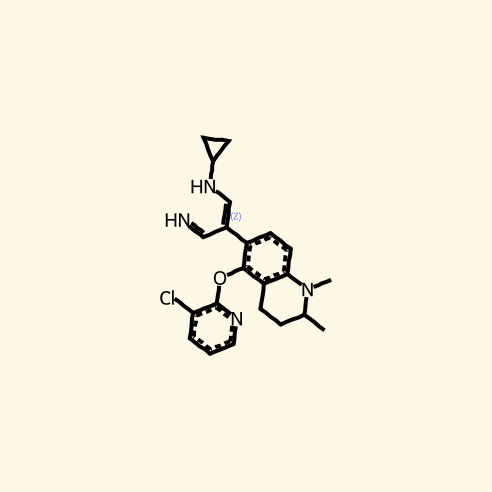 CC1CCc2c(ccc(/C(C=N)=C/NC3CC3)c2Oc2ncccc2Cl)N1C